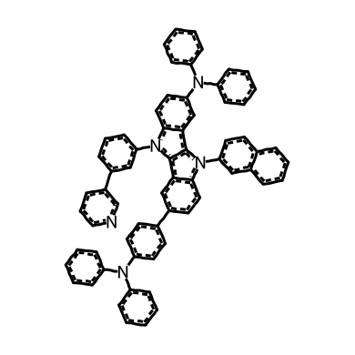 c1ccc(N(c2ccccc2)c2ccc(-c3ccc4c(c3)c3c(c5cc(N(c6ccccc6)c6ccccc6)ccc5n3-c3cccc(-c5cccnc5)c3)n4-c3ccc4ccccc4c3)cc2)cc1